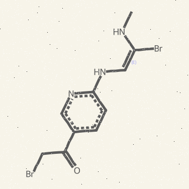 CN/C(Br)=C\Nc1ccc(C(=O)CBr)cn1